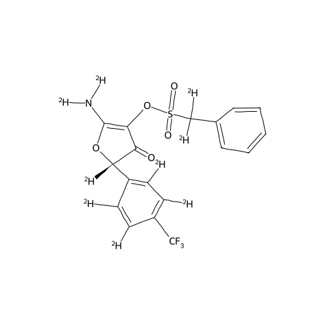 [2H]c1c([2H])c([C@]2([2H])OC(N([2H])[2H])=C(OS(=O)(=O)C([2H])([2H])c3ccccc3)C2=O)c([2H])c([2H])c1C(F)(F)F